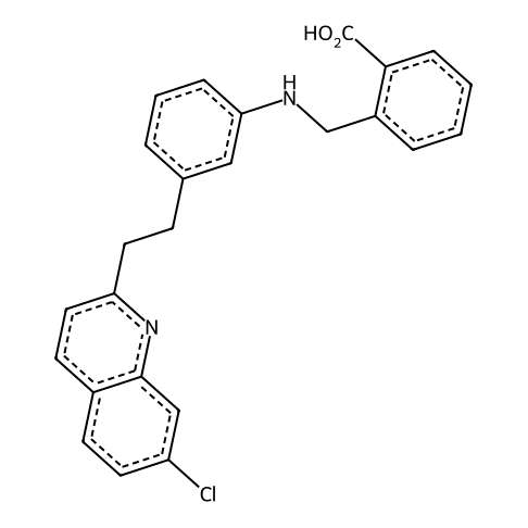 O=C(O)c1ccccc1CNc1cccc(CCc2ccc3ccc(Cl)cc3n2)c1